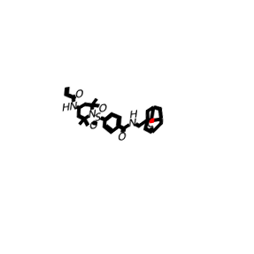 C=CC(=O)NC1CC(C)(C)N(S(=O)(=O)c2ccc(C(=O)NCC34CC5CC(CC(C5)C3)C4)cc2)C(C)(C)C1